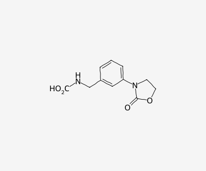 O=C(O)NCc1cccc(N2CCOC2=O)c1